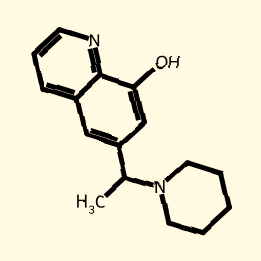 CC(c1cc(O)c2ncccc2c1)N1CCCCC1